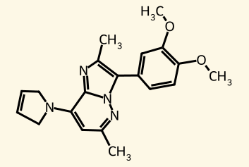 COc1ccc(-c2c(C)nc3c(N4CC=CC4)cc(C)nn23)cc1OC